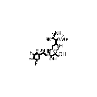 COC(=C/CCNN(/C=C(\N)c1cc(F)c(F)c(F)c1)C(O)C(CO)OCS)/C(C#N)=N\N